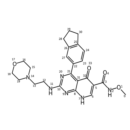 CONC(=O)c1c[nH]c2nc(NCCN3CCOCC3)nc(-c3ccc4c(c3)CCC4)c2c1=O